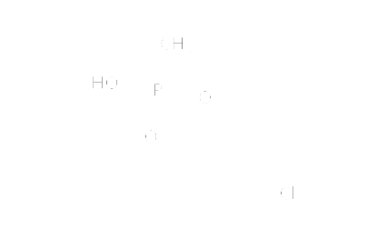 CP(=O)(O)OC=CCl